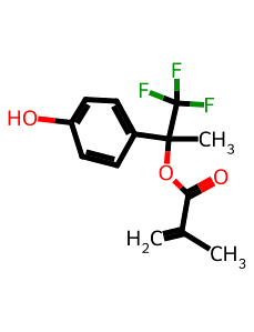 C=C(C)C(=O)OC(C)(c1ccc(O)cc1)C(F)(F)F